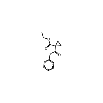 CCOC(=O)C1(C(=O)Oc2ccccc2)CC1